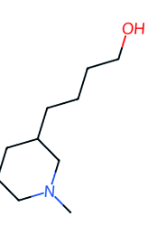 CN1CCCC(CCCCO)C1